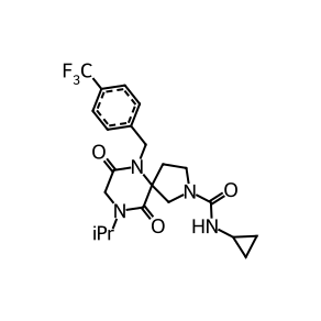 CC(C)N1CC(=O)N(Cc2ccc(C(F)(F)F)cc2)C2(CCN(C(=O)NC3CC3)C2)C1=O